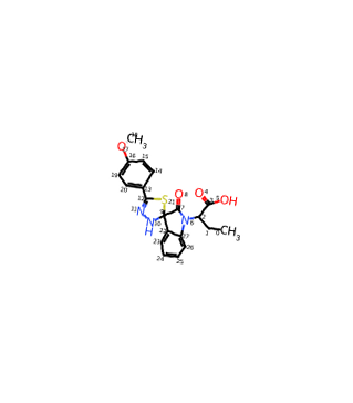 CCC(C(=O)O)N1C(=O)C2(NN=C(c3ccc(OC)cc3)S2)c2ccccc21